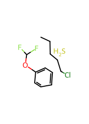 CCCCCCl.FC(F)Oc1ccccc1.S